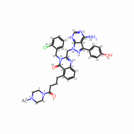 CC(=O)N1CCN(C(=O)CCCc2cccc3nc(Cn4nc(-c5ccc(O)cc5)c5c(N)ncnc54)n(Cc4ccccc4Cl)c(=O)c23)CC1